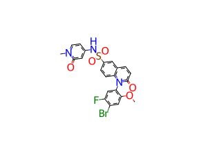 COc1cc(Br)c(F)cc1-n1c(=O)ccc2cc(S(=O)(=O)Nc3ccn(C)c(=O)c3)ccc21